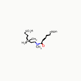 CCCCCCCCCC=CC=CC(=O)N(C)CC[Si](C)(C)CCCS(=O)(=O)O